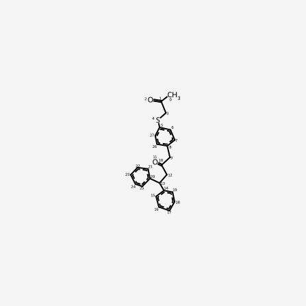 CC(=O)CSc1ccc(CC(=O)CC(c2ccccc2)c2ccccc2)cc1